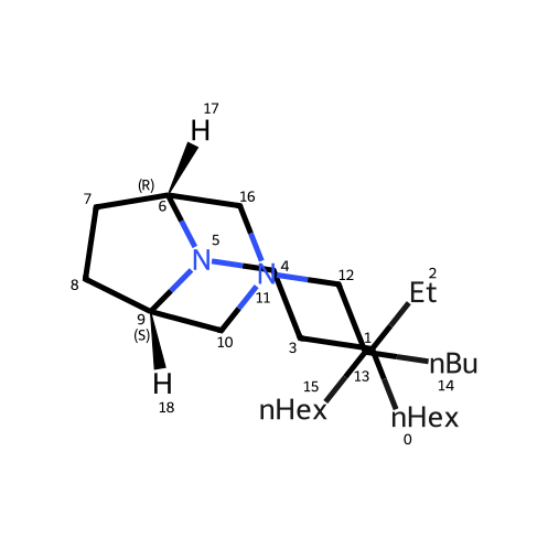 CCCCCCC(CC)CCN1[C@@H]2CC[C@H]1CN(CC(CCCC)CCCCCC)C2